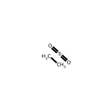 [CH2]C.[O]=[Ti]=[O]